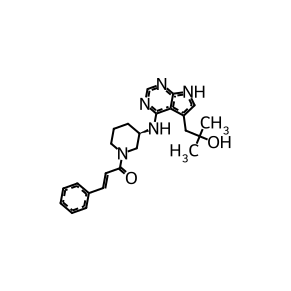 CC(C)(O)Cc1c[nH]c2ncnc(N[C@@H]3CCCN(C(=O)/C=C/c4ccccc4)C3)c12